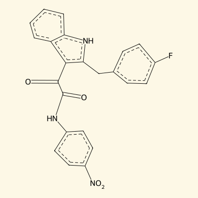 O=C(Nc1ccc([N+](=O)[O-])cc1)C(=O)c1c(Cc2ccc(F)cc2)[nH]c2ccccc12